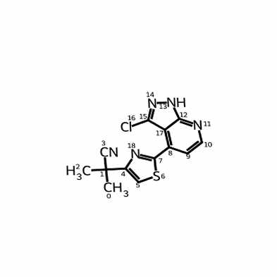 CC(C)(C#N)c1csc(-c2ccnc3[nH]nc(Cl)c23)n1